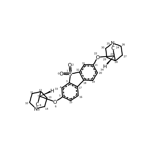 O=S1(=O)c2cc(O[C@@H]3CN4CCC3CC4)ccc2-c2ccc(O[C@@H]3CN4CCC3CC4)cc21